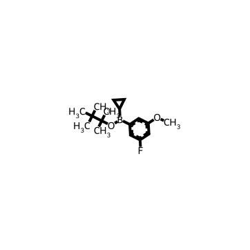 COc1cc(F)cc(B(OC(C)(C)C(C)(C)C)C2CC2)c1